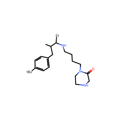 CCC(NCCCCN1CCNCC1=O)C(C)Cc1ccc(C(C)(C)C)cc1